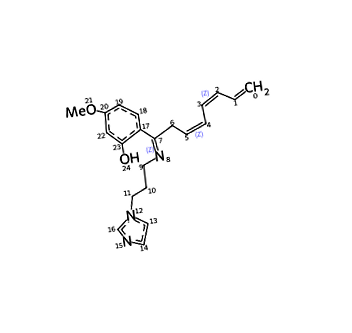 C=C/C=C\C=C/C/C(=N/CCCn1ccnc1)c1ccc(OC)cc1O